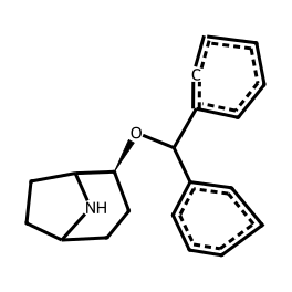 c1ccc(C(O[C@H]2CCC3CCC2N3)c2ccccc2)cc1